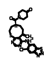 C=C1CC[C@H](C(=O)N2CCC(=O)CC2)CCSc2ncnc(Nc3cc4snnc4cc3Cl)c21